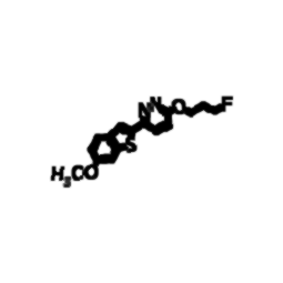 COc1ccc2cc(-c3ccc(OCCCF)nn3)sc2c1